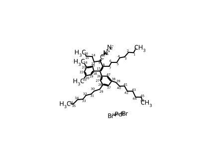 CCCCCCCCC(C(=C=[N+]=[N-])CCCC)=C(c1cc(C)cc(C)c1)c1cc(CCCCCCCC)cc(CCCCCCCC)c1.[Br][Pd][Br]